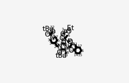 CCOP(C)(=O)CC(=O)N1O[C@H](CC2CCCCC2)C(=O)N2[C@@H]1CN(CC1CCN(C(=O)OC(C)(C)C)CC1)C(=O)[C@@H]2CC(C)(C)C